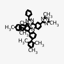 Cc1cc(C)c(-c2ccc3c(c2)c2cc(-c4c(C)cc(C)cc4C)ccc2n3-c2ccc(-c3nc(C)nc(C)n3)cc2-c2nc(-c3ccccc3)nc(-c3ccccc3)n2)c(C)c1